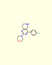 Fc1ccc(-c2nc(N3CCOCC3)nc3c2CNCC3)cc1